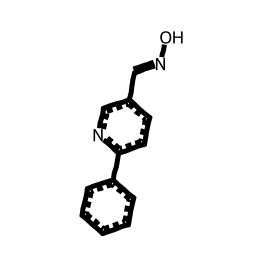 ON=Cc1ccc(-c2ccccc2)nc1